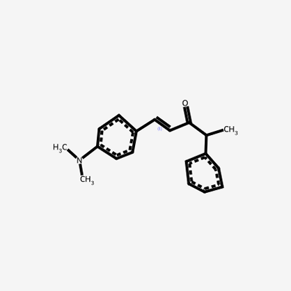 CC(C(=O)/C=C/c1ccc(N(C)C)cc1)c1ccccc1